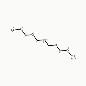 COCOCNCOCOC